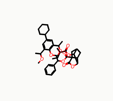 CCC(C)C(=O)OC1C2CC3C1OC(=O)C3(C(=O)OC(COc1c(C(C)OC)cc(C3CCCCC3)cc1C(C)OC)c1ccccc1)C2